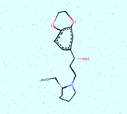 COC[C@@H]1CCCN1CC[C@@H](O)c1ccc2c(c1)OCCO2